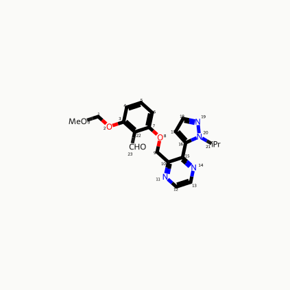 COCOc1cccc(OCc2nccnc2-c2ccnn2C(C)C)c1C=O